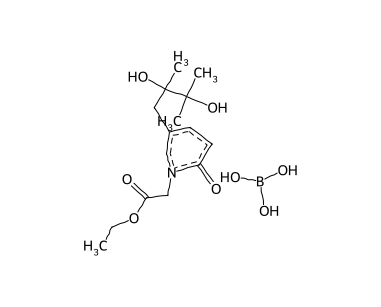 CCOC(=O)Cn1cc(CC(C)(O)C(C)(C)O)ccc1=O.OB(O)O